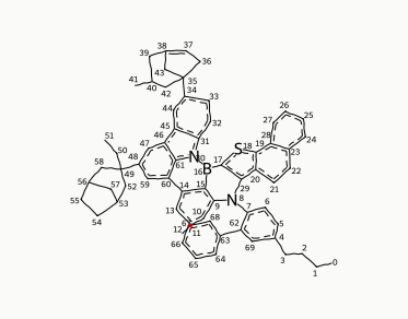 CCCCc1ccc(N2c3cc(C)cc4c3B(c3sc5c(ccc6ccccc65)c32)n2c3ccc(C56CC=C(CC(C)C5)C6)cc3c3cc(C5(CC)CC6CCC(C6)C5)cc-4c32)c(-c2ccccc2)c1